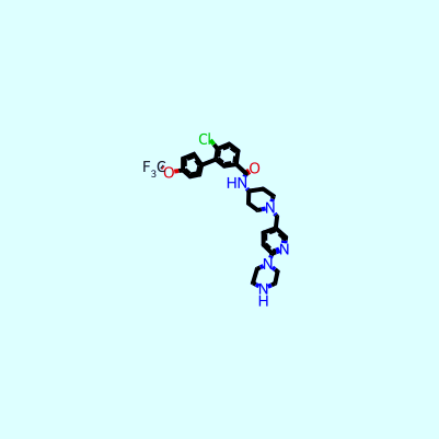 O=C(NC1CCN(Cc2ccc(N3CCNCC3)nc2)CC1)c1ccc(Cl)c(-c2ccc(OC(F)(F)F)cc2)c1